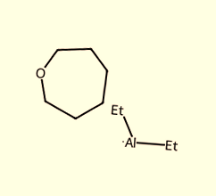 C1CCCOCC1.C[CH2][Al][CH2]C